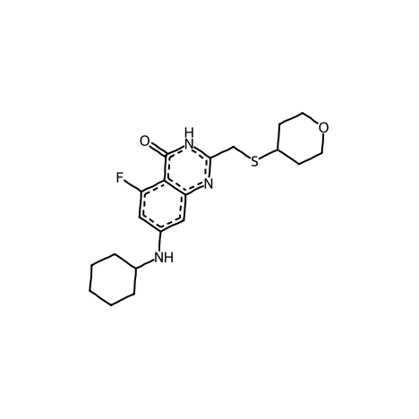 O=c1[nH]c(CSC2CCOCC2)nc2cc(NC3CCCCC3)cc(F)c12